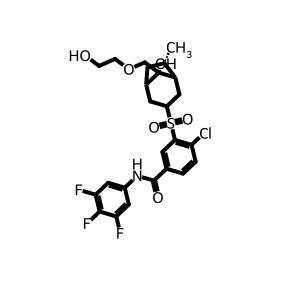 C[C@H]1CC2CC(S(=O)(=O)c3cc(C(=O)Nc4cc(F)c(F)c(F)c4)ccc3Cl)CC1[C@@]2(O)COCCO